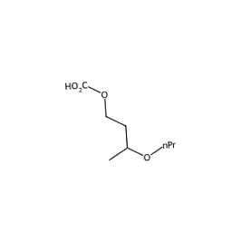 CCCOC(C)CCOC(=O)O